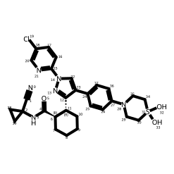 N#CC1(NC(=O)[C@@H]2CCCC[C@H]2c2nn(-c3ccc(Cl)cn3)cc2-c2ccc(N3CCS(O)(O)CC3)cc2)CC1